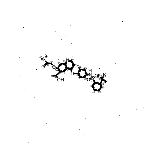 CC(O)c1cc2c(Oc3ccc(NS(=O)(=O)c4ccccc4C(F)(F)F)cc3F)ccnc2cc1OCC(=O)N(C)C